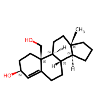 C[C@@]12CCC[C@H]1[C@@H]1CCC3=C[C@@H](O)CC[C@]3(CO)[C@H]1CC2